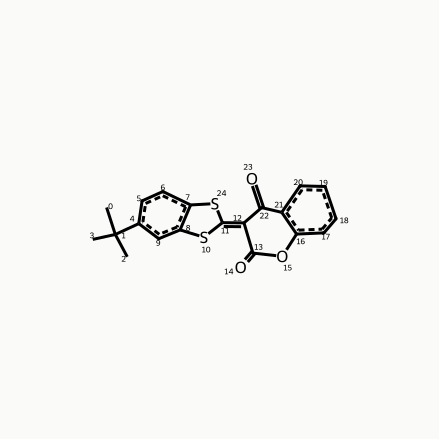 CC(C)(C)c1ccc2c(c1)S/C(=C1\C(=O)Oc3ccccc3C1=O)S2